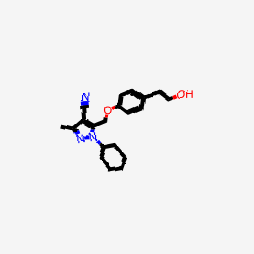 Cc1nn(C2CCCCC2)c(COc2ccc(CCO)cc2)c1C#N